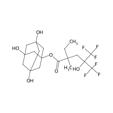 CCC(C)(CC(O)(C(F)(F)F)C(F)(F)F)C(=O)OC12CC3(O)CC(O)(CC(O)(C3)C1)C2